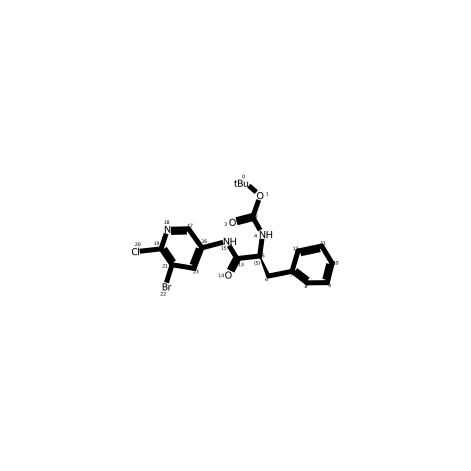 CC(C)(C)OC(=O)N[C@@H](Cc1ccccc1)C(=O)Nc1cnc(Cl)c(Br)c1